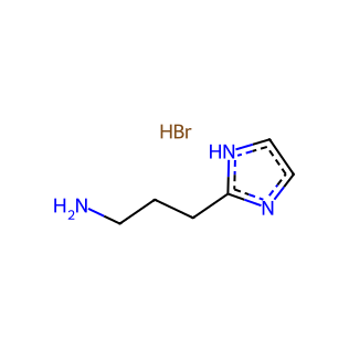 Br.NCCCc1ncc[nH]1